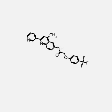 Cc1cc(-c2cccnc2)nc2ccc(NC(=O)COc3ccc(C(F)(F)F)cc3)cc12